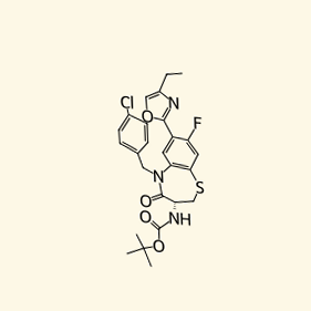 CCc1coc(-c2cc3c(cc2F)SC[C@H](NC(=O)OC(C)(C)C)C(=O)N3Cc2ccc(Cl)cc2)n1